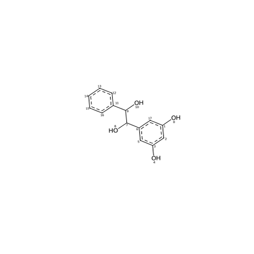 Oc1cc(O)cc(C(O)C(O)c2ccccc2)c1